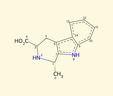 C[C@@H]1NC(C(=O)O)Cc2c1[nH]c1ccccc21